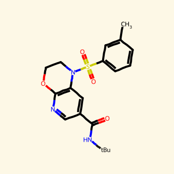 Cc1cccc(S(=O)(=O)N2CCOc3ncc(C(=O)NC(C)(C)C)cc32)c1